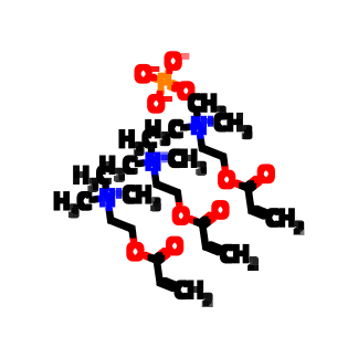 C=CC(=O)OCC[N+](C)(C)C.C=CC(=O)OCC[N+](C)(C)C.C=CC(=O)OCC[N+](C)(C)C.O=P([O-])([O-])[O-]